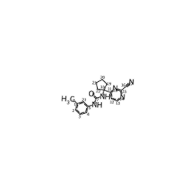 Cc1cccc(NC(=O)NC2(c3ccnc(C#N)n3)CCCC2)c1